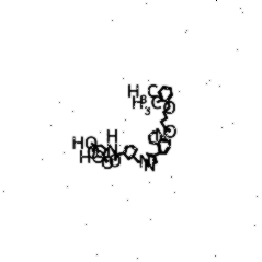 Cc1cccc(OCCCC(=O)N2CCCc3c(-c4cnn(Cc5cccc(C(=O)NC(CC(=O)O)C(=O)O)c5)c4)cccc32)c1C